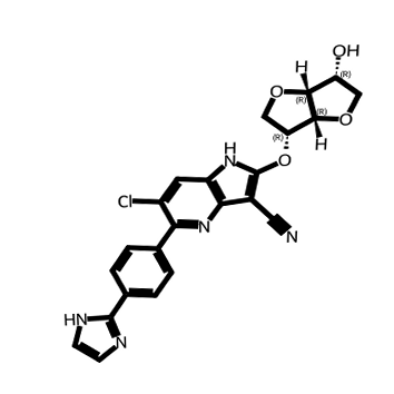 N#Cc1c(O[C@@H]2CO[C@H]3[C@@H]2OC[C@H]3O)[nH]c2cc(Cl)c(-c3ccc(-c4ncc[nH]4)cc3)nc12